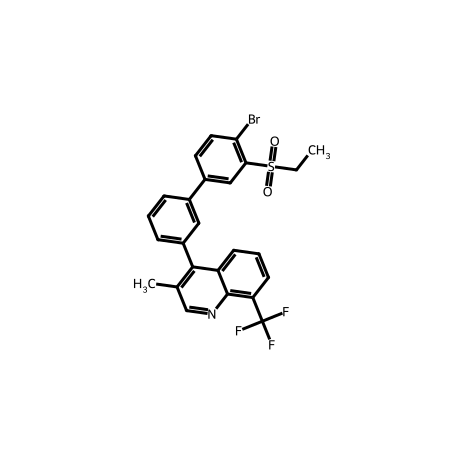 CCS(=O)(=O)c1cc(-c2cccc(-c3c(C)cnc4c(C(F)(F)F)cccc34)c2)ccc1Br